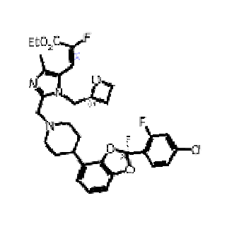 CCOC(=O)/C(F)=C\c1c(C)nc(CN2CCC(c3cccc4c3O[C@@](C)(c3ccc(Cl)cc3F)O4)CC2)n1C[C@@H]1CCO1